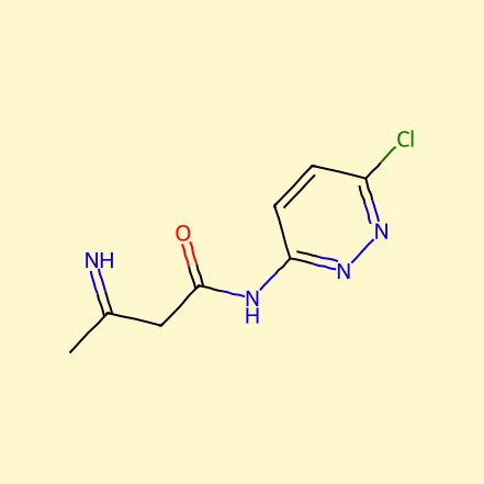 CC(=N)CC(=O)Nc1ccc(Cl)nn1